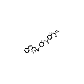 N[C@@]1(Cc2ccc3ccccc3c2)C[C@H]1c1ccc(NC(=O)c2ccc(NC(=O)O)cc2)cc1